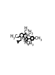 CCC1CCc2c(C)nc3c(-c4c(C)cc(C)cc4C)c(C)nn3c2N1CC1CC1